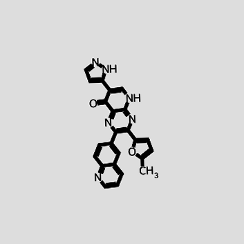 Cc1ccc(-c2nc3[nH]cc(-c4ccn[nH]4)c(=O)c3nc2-c2ccc3ncccc3c2)o1